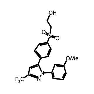 COc1cccc(-n2nc(C(F)(F)F)cc2-c2ccc(S(=O)(=O)CCO)cc2)c1